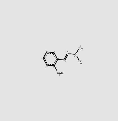 COc1ncccc1C=N[S+]([O-])C(C)(C)C